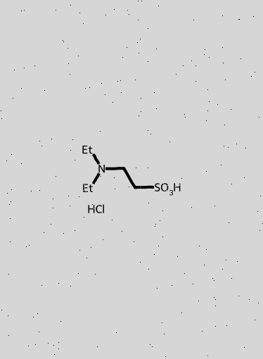 CCN(CC)CCS(=O)(=O)O.Cl